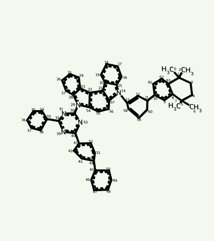 CC1(C)CCC(C)(C)c2cc(C3C=C(n4c5ccccc5c5c6c7ccccc7n(-c7nc(-c8ccccc8)nc(-c8ccc(-c9ccccc9)cc8)n7)c6ccc54)C=CC3)ccc21